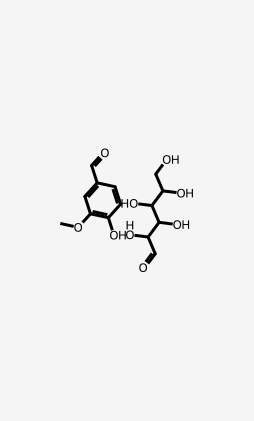 COc1cc(C=O)ccc1O.O=CC(O)C(O)C(O)C(O)CO